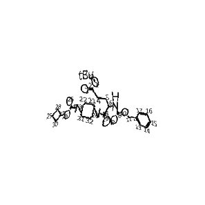 CC(C)(C)OC(=O)CCC(NC(=O)OCc1ccccc1)C(=O)N1CCN(C(=O)OC2CCC2)CC1